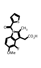 COc1ccc2c(c1F)c(CC(=O)O)c(C)n2C(=O)c1cccs1